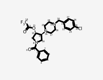 O=C(c1ccccc1)N1C[C@H](OC(=O)C(F)(F)F)[C@@H](N2CCN(Cc3ccc(Cl)cc3)CC2)C1